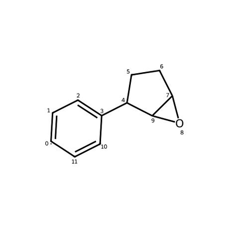 [c]1ccc(C2CCC3OC32)cc1